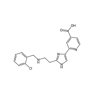 O=C(O)c1ccnc(-c2c[nH]c(CCNCc3ccccc3Cl)n2)c1